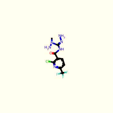 CN(N)/C(=N\N)NC(=O)c1ccc(C(F)(F)F)nc1Cl